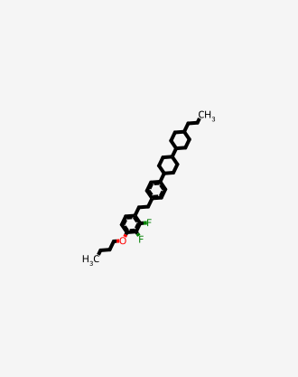 CCCCOc1ccc(CCc2ccc(C3CCC(C4CCC(CCC)CC4)CC3)cc2)c(F)c1F